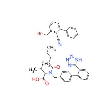 CCCCC(=O)N(Cc1ccc(-c2ccccc2-c2nnn[nH]2)cc1)C(C(=O)O)C(C)C.N#Cc1c(CBr)cccc1-c1ccccc1